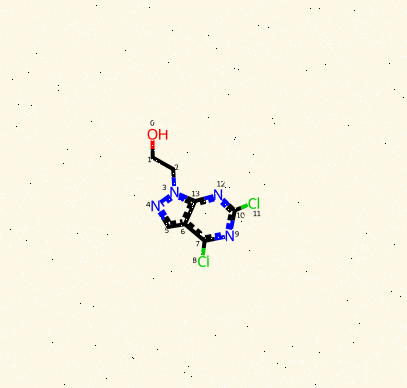 OCCn1ncc2c(Cl)nc(Cl)nc21